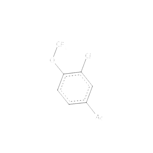 CC(=O)c1ccc(OC(F)(F)F)c(Cl)c1